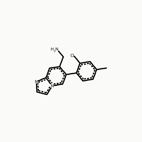 Cc1ccc(-c2cn3ccnc3cc2CN)c(Cl)c1